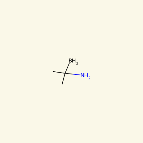 BC(C)(C)N